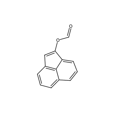 O=COC1=Cc2cccc3cccc1c23